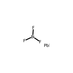 [F][Bi]([F])[F].[Pb]